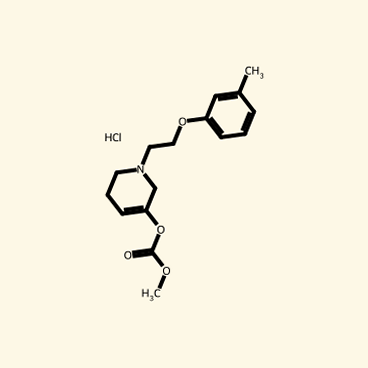 COC(=O)OC1=CCCN(CCOc2cccc(C)c2)C1.Cl